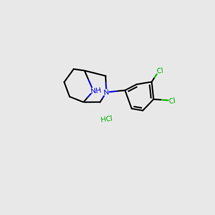 Cl.Clc1ccc(N2CC3CCCC(C2)N3)cc1Cl